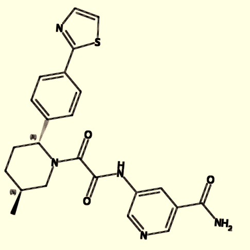 C[C@H]1CC[C@H](c2ccc(-c3nccs3)cc2)N(C(=O)C(=O)Nc2cncc(C(N)=O)c2)C1